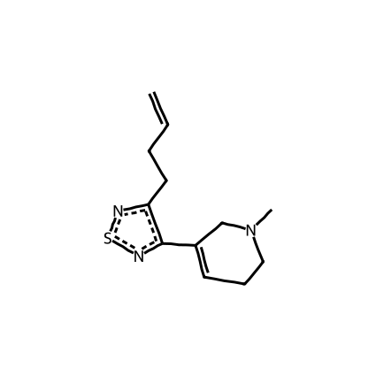 C=CCCc1nsnc1C1=CCCN(C)C1